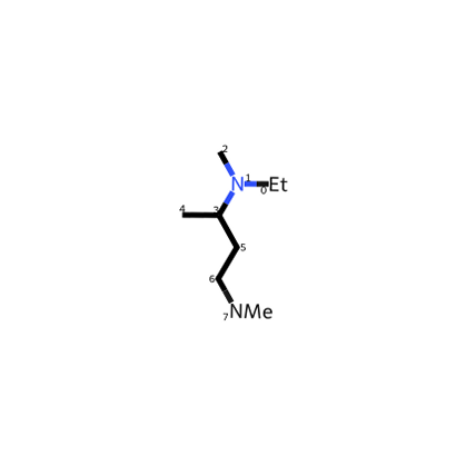 CCN(C)C(C)CCNC